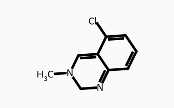 CN1C=c2c(Cl)cccc2=NC1